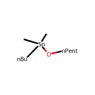 CCCCC[O][Sn]([CH3])([CH3])[CH2]CCC